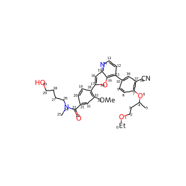 CCOCCC(C)Oc1ccc(-c2ccnc3cc(-c4ccc(C(=O)N(C)CCCCO)cc4OC)oc23)cc1C#N